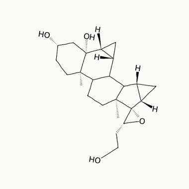 C[C@]12CCC3C(C1[C@@H]1C[C@@H]1[C@]21O[C@@H]1CCO)[C@H]1C[C@H]1[C@]1(O)C[C@@H](O)CC[C@]31C